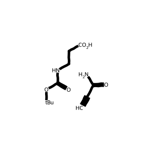 C#CC(N)=O.CC(C)(C)OC(=O)NCCC(=O)O